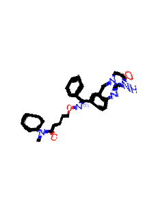 CN(C(=O)CCCCO/N=C(\c1ccccc1)c1ccc2c(c1)CN1CC(=O)NC1=N2)C1CCCCC1